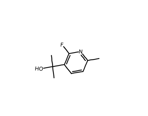 Cc1ccc(C(C)(C)O)c(F)n1